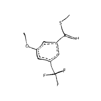 COc1cc(C(=N)SC)cc(C(F)(F)F)c1